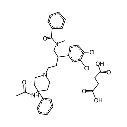 CC(=O)NC1(c2ccccc2)CCN(CCC(CN(C)C(=O)c2ccccc2)c2ccc(Cl)c(Cl)c2)CC1.O=C(O)CCC(=O)O